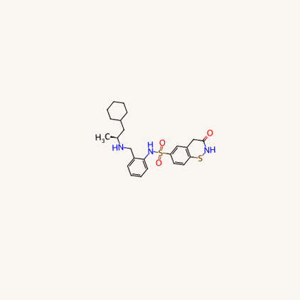 C[C@@H](CC1CCCCC1)NCc1ccccc1NS(=O)(=O)c1ccc2c(c1)CC(=O)NS2